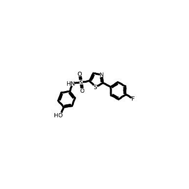 O=S(=O)(Nc1ccc(O)cc1)c1cnc(-c2ccc(F)cc2)s1